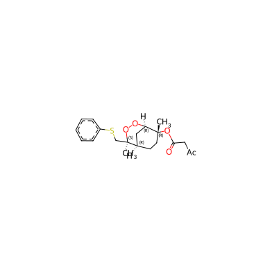 CC(=O)CC(=O)O[C@]1(C)CC[C@@H]2C[C@H]1OO[C@]2(C)CSc1ccccc1